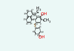 Cc1cc(Sc2ccc(O)cc2)cc(C(C)c2cccc3ccccc23)c1O